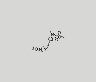 CCOC(=O)c1cn(CC)c2ccc(C#CCN3CCN(COC(C)(C)C)CC3)cc2c1=O